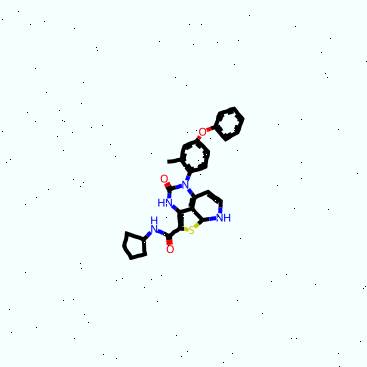 Cc1cc(Oc2ccccc2)ccc1N1C(=O)NC2=C(C(=O)NC3CCCC3)SC3NC=CC1=C23